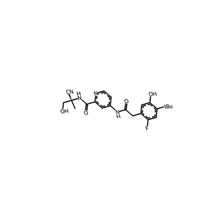 CC(C)(C)c1cc(F)c(CC(=O)Nc2ccnc(C(=O)N[C@@](C)(C#N)CO)c2)cc1O